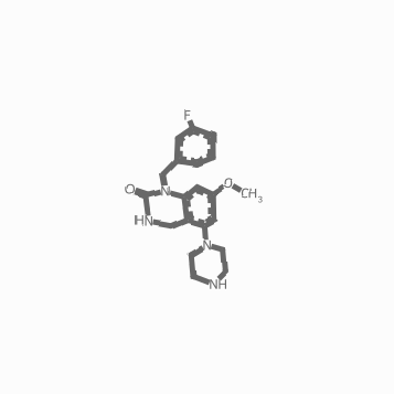 COc1cc(N2CCNCC2)c2c(c1)N(Cc1cccc(F)c1)C(=O)NC2